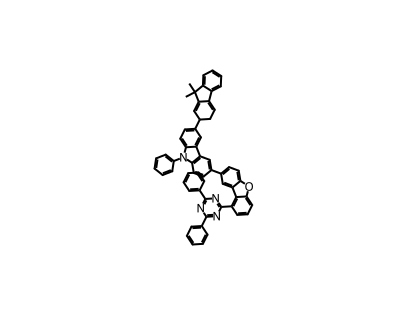 CC1(C)C2=CC(c3ccc4c(c3)c3cc(-c5ccc6oc7cccc(-c8nc(-c9ccccc9)nc(-c9ccccc9)n8)c7c6c5)ccc3n4-c3ccccc3)CC=C2c2ccccc21